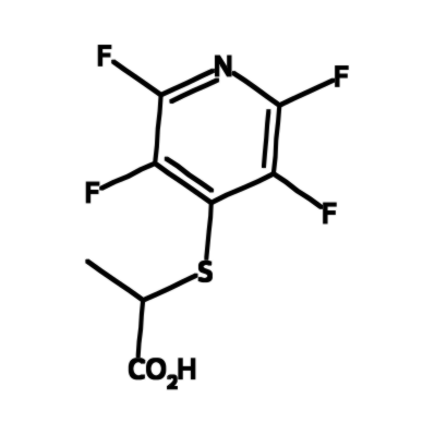 CC(Sc1c(F)c(F)nc(F)c1F)C(=O)O